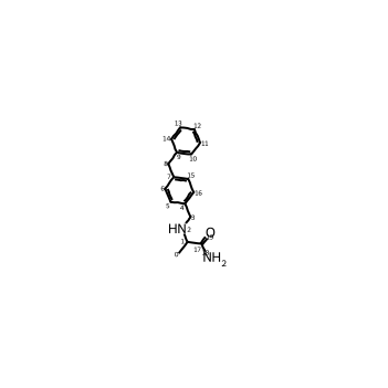 CC(NCc1ccc(Cc2ccccc2)cc1)C(N)=O